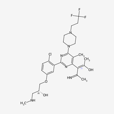 CNC[C@@H](O)COc1ccc(Cl)c(-c2nc(/C(C(C)=N)=C(\C)O)c(C)c(N3CCN(CCC(F)(F)F)CC3)n2)c1